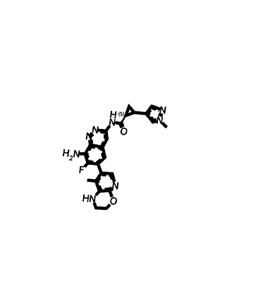 Cc1c(-c2cc3cc(NC(=O)[C@H]4CC4c4cnn(C)c4)nnc3c(N)c2F)cnc2c1NCCO2